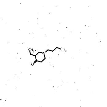 CCCCN1CCC(=O)C(CC)C1